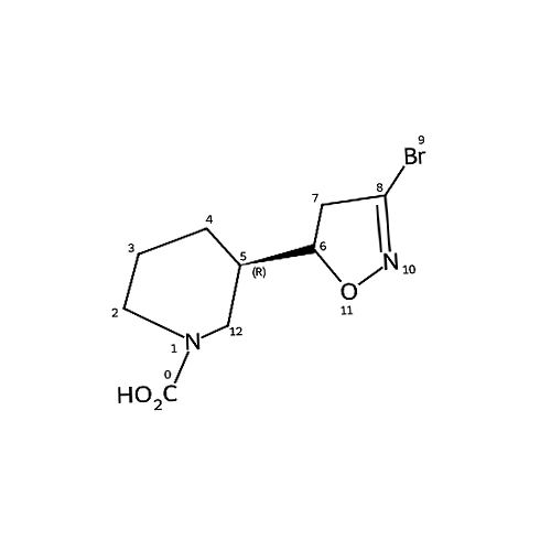 O=C(O)N1CCC[C@@H](C2CC(Br)=NO2)C1